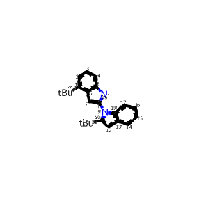 CC(C)(C)c1cccc2c1C=C(n1c(C(C)(C)C)cc3ccccc31)[N]2